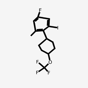 Cc1cc(F)cc(I)c1C1CCC(OC(F)(F)F)CC1